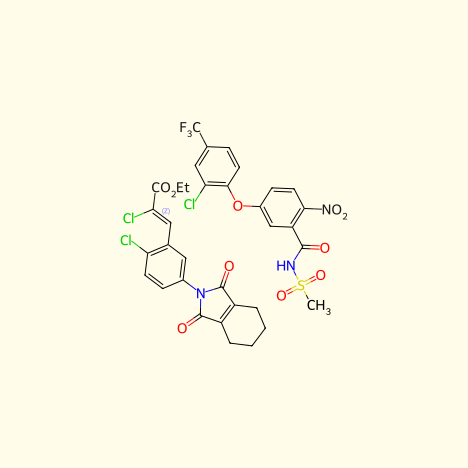 CCOC(=O)/C(Cl)=C/c1cc(N2C(=O)C3=C(CCCC3)C2=O)ccc1Cl.CS(=O)(=O)NC(=O)c1cc(Oc2ccc(C(F)(F)F)cc2Cl)ccc1[N+](=O)[O-]